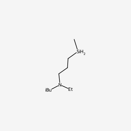 CCC(C)N(CC)CCC[SiH2]C